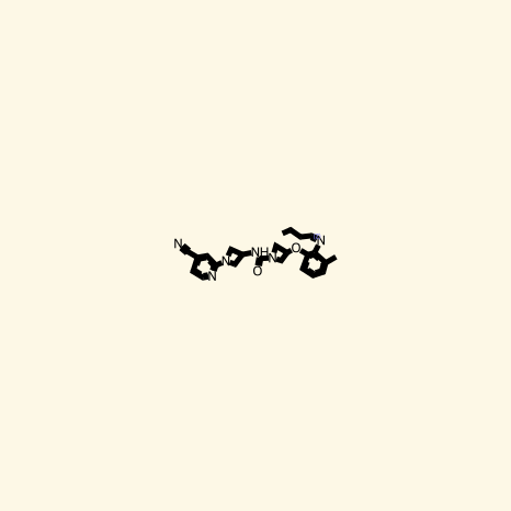 CCC/C=N\c1c(C)cccc1OC1CN(C(=O)NC2CN(c3cc(C#N)ccn3)C2)C1